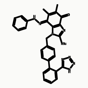 CCCCc1nc2c(n1Cc1ccc(-c3ccccc3-c3nnn[nH]3)cc1)C(=NNc1ccccc1)C(C)=C(C)C2=O